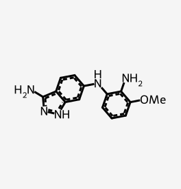 COc1cccc(Nc2ccc3c(N)n[nH]c3c2)c1N